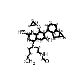 C=CCCN(CCNC=O)c1nc(O)nc2c(OC3CC3)c(-c3cccc4c3CC3CC43)c(Cl)cc12